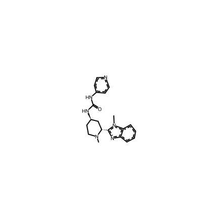 CN1CC[C@@H](NC(=O)Nc2ccncc2)C[C@@H]1c1nc2ccccc2n1C